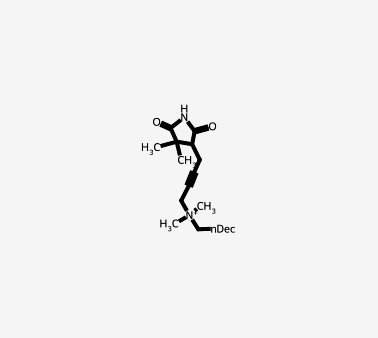 CCCCCCCCCCC[N+](C)(C)CC#CCC1C(=O)NC(=O)C1(C)C